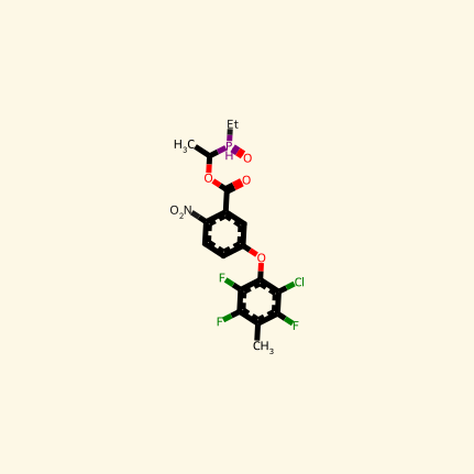 CC[PH](=O)C(C)OC(=O)c1cc(Oc2c(F)c(F)c(C)c(F)c2Cl)ccc1[N+](=O)[O-]